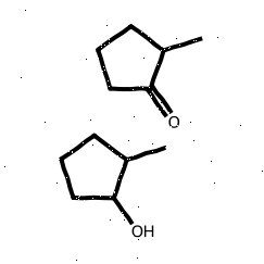 CC1CCCC1=O.CC1CCCC1O